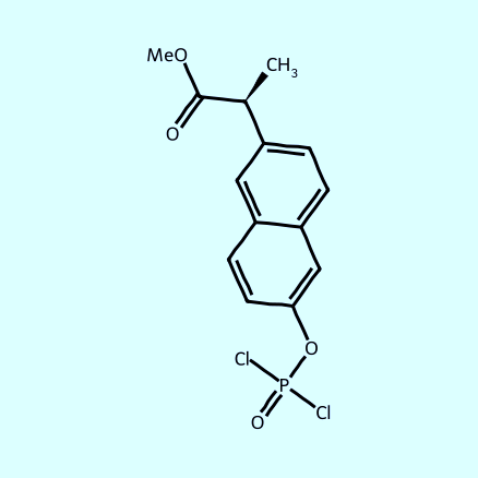 COC(=O)[C@@H](C)c1ccc2cc(OP(=O)(Cl)Cl)ccc2c1